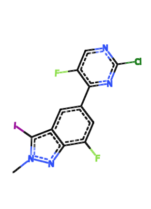 Cn1nc2c(F)cc(-c3nc(Cl)ncc3F)cc2c1I